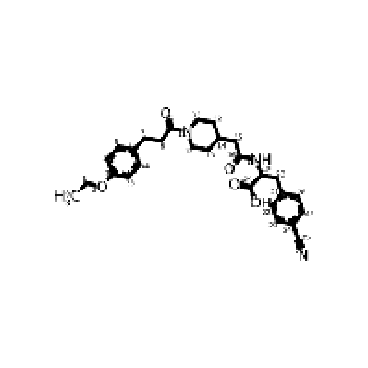 CCOc1ccc(CCC(=O)N2CCC(CC(=O)NC(Cc3ccc(C#N)cc3)C(=O)O)CC2)cc1